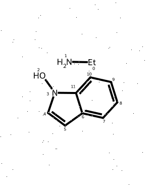 CCN.On1ccc2ccccc21